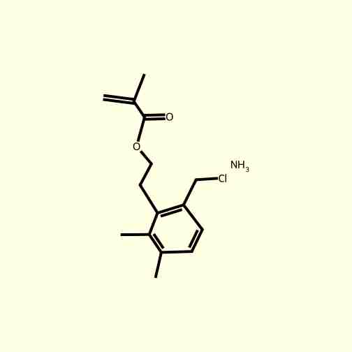 C=C(C)C(=O)OCCc1c(CCl)ccc(C)c1C.N